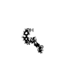 Cc1nc(N2CC3CC2CN3C(=O)OC(C)(C)C)cc(-n2ncc3cc(C)c(C4CCC(C)(O)CC4)cc32)n1